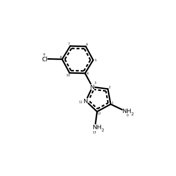 Nc1cn(-c2cccc(Cl)c2)nc1N